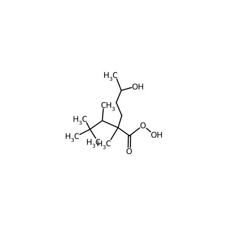 CC(O)CCC(C)(C(=O)OO)C(C)C(C)(C)C